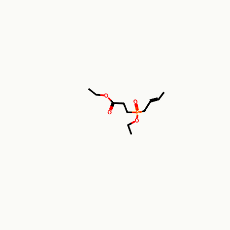 C/C=C/CP(=O)(CCC(=O)OCC)OCC